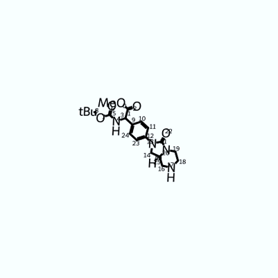 COC(=O)C(NC(=O)OC(C)(C)C)c1ccc(N2C[C@@H]3CNCCN3C2=O)cc1